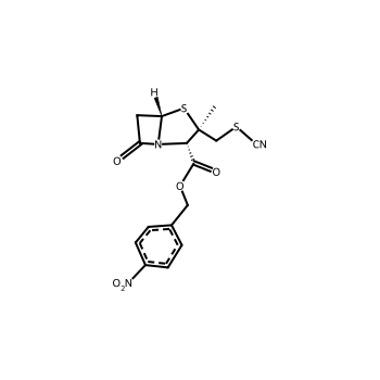 C[C@@]1(CSC#N)S[C@H]2CC(=O)N2[C@H]1C(=O)OCc1ccc([N+](=O)[O-])cc1